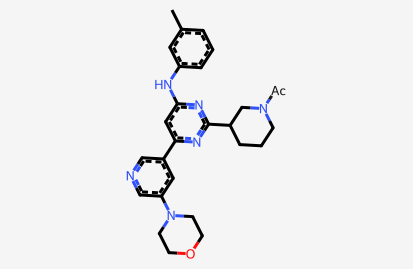 CC(=O)N1CCCC(c2nc(Nc3cccc(C)c3)cc(-c3cncc(N4CCOCC4)c3)n2)C1